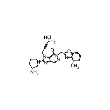 CC#CCn1c(N2CCCC(N)C2)nc2cnn(Cc3nc4c(C)cccc4o3)c(=O)c21.Cl